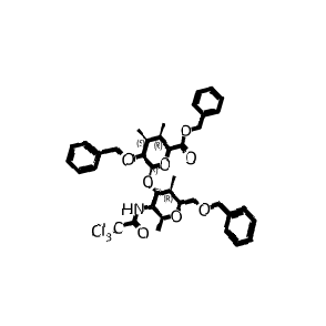 CC1OC(COCc2ccccc2)[C@H](C)[C@H](O[C@@H]2OC(C(=O)OCc3ccccc3)[C@H](C)[C@H](C)C2OCc2ccccc2)C1NC(=O)C(Cl)(Cl)Cl